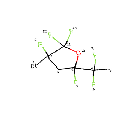 CCC1(F)CC(F)(C(C)(F)F)OC1(F)F